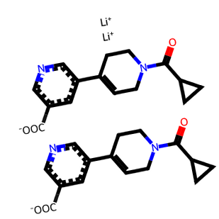 O=C([O-])c1cncc(C2=CCN(C(=O)C3CC3)CC2)c1.O=C([O-])c1cncc(C2=CCN(C(=O)C3CC3)CC2)c1.[Li+].[Li+]